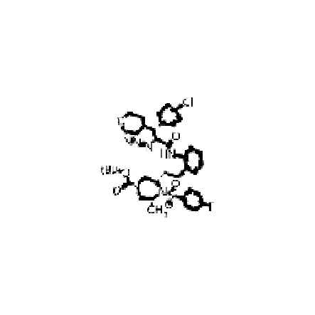 C[C@@H]1CN(C(=O)OC(C)(C)C)C[C@H](CCc2ccccc2NC(=O)[C@@H](N=[N+]=[N-])[C@@H](c2ccc(Cl)cc2)C2CCOCC2)N1S(=O)(=O)c1ccc(F)cc1